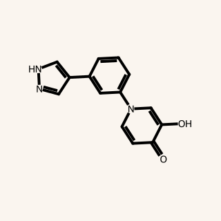 O=c1ccn(-c2cccc(-c3cn[nH]c3)c2)cc1O